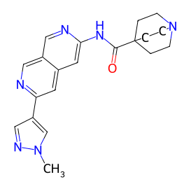 Cn1cc(-c2cc3cc(NC(=O)C45CCN(CC4)CC5)ncc3cn2)cn1